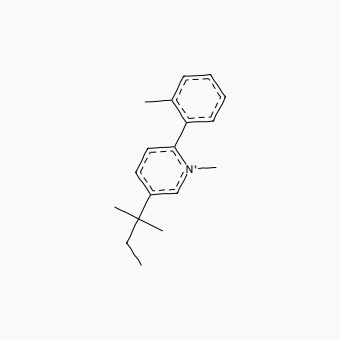 CCC(C)(C)c1ccc(-c2ccccc2C)[n+](C)c1